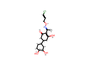 CCC(=NOC/C=C/Cl)C1=C(O)CC(C2CCC(O)C(O)C2)CC1=O